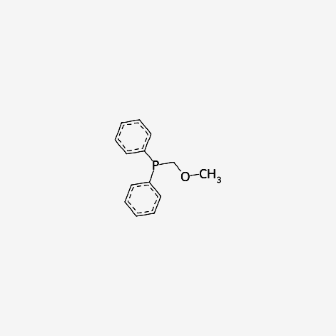 COCP(c1ccccc1)c1ccccc1